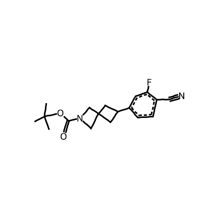 CC(C)(C)OC(=O)N1CC2(CC(c3ccc(C#N)c(F)c3)C2)C1